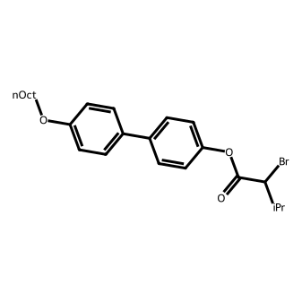 CCCCCCCCOc1ccc(-c2ccc(OC(=O)C(Br)C(C)C)cc2)cc1